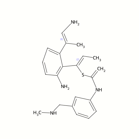 C=C(Nc1cccc(CNC)c1)S/C(=C\C)c1c(N)cccc1/C(C)=C/N